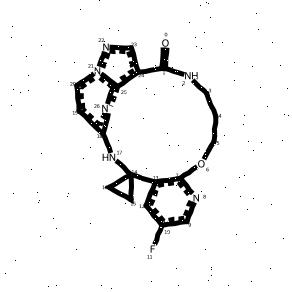 O=C1NCCCOc2ncc(F)cc2C2(CC2)Nc2ccn3ncc1c3n2